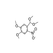 COc1cc(C(OC)OC)c([N+](=O)[O-])cc1OC